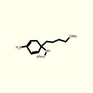 CCCCCNC1(CCCCOC)C=CC(N)=CC1